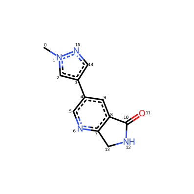 Cn1cc(-c2cnc3c(c2)C(=O)NC3)cn1